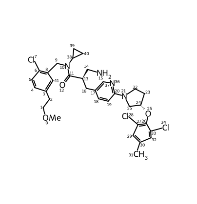 COCCc1ccc(Cl)c(CN(C(=O)[C@@H](CN)Cc2ccc(N3CC[C@H](Oc4c(Cl)cc(C)cc4Cl)C3)nc2)C2CC2)c1